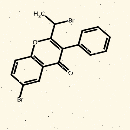 CC(Br)c1oc2ccc(Br)cc2c(=O)c1-c1ccccc1